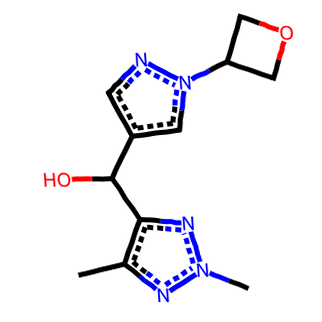 Cc1nn(C)nc1C(O)c1cnn(C2COC2)c1